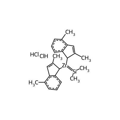 CC1=Cc2c(C)cccc2[CH]1[Zr]([CH]1C(C)=Cc2c(C)cccc21)=[Si](C)C.Cl.Cl